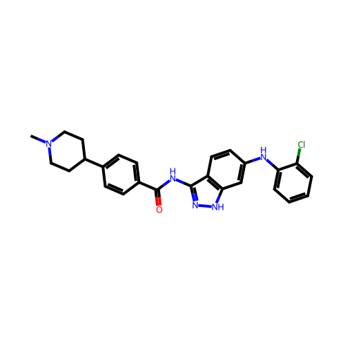 CN1CCC(c2ccc(C(=O)Nc3n[nH]c4cc(Nc5ccccc5Cl)ccc34)cc2)CC1